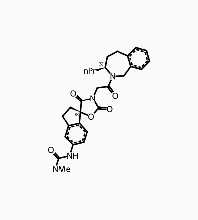 CCC[C@H]1CCc2ccccc2CN1C(=O)CN1C(=O)O[C@@]2(CCc3cc(NC(=O)NC)ccc32)C1=O